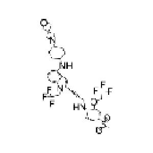 CS(=O)(=O)c1ccc(NCC#Cc2cc3c(N[C@H]4CC[C@H](N5CC6(COC6)C5)CC4)cccc3n2CC(F)(F)F)c(OCC(F)(F)F)c1